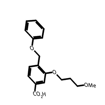 COCCCOc1cc(C(=O)O)ccc1COc1ccccc1